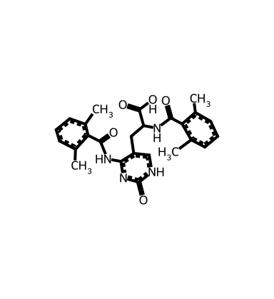 Cc1cccc(C)c1C(=O)Nc1nc(=O)[nH]cc1CC(NC(=O)c1c(C)cccc1C)C(=O)O